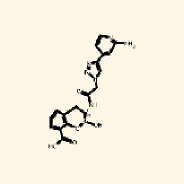 Nc1cc(-c2cn(CC(=O)N[C@H]3Cc4cccc(C(=O)O)c4OB3O)nn2)ccn1